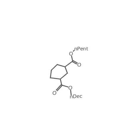 CCCCCCCCCCOC(=O)C1CCCC(C(=O)OCCCCC)C1